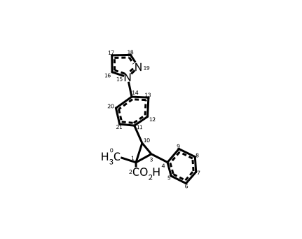 CC1(C(=O)O)C(c2ccccc2)C1c1ccc(-n2cccn2)cc1